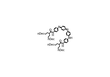 CCCCCCCCCCCCC(CCCCCCCCCCCC)C(=O)Nc1ccc(N=C2C=CC(=Nc3ccc(Nc4ccc(NC(=O)C(CCCCCCCCCCCC)CCCCCCCCCCCC)cc4)cc3)C=C2)cc1